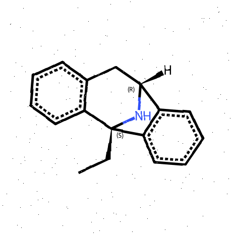 CC[C@]12N[C@H](Cc3ccccc31)c1ccccc12